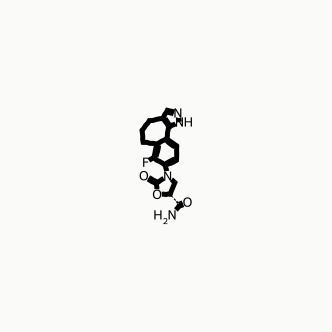 NC(=O)[C@H]1CN(c2ccc3c(c2F)CCCc2cn[nH]c2-3)C(=O)O1